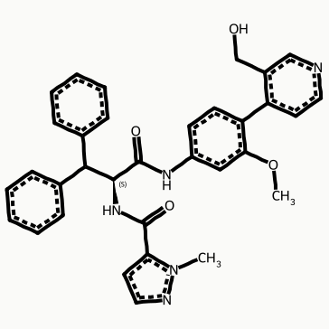 COc1cc(NC(=O)[C@@H](NC(=O)c2ccnn2C)C(c2ccccc2)c2ccccc2)ccc1-c1ccncc1CO